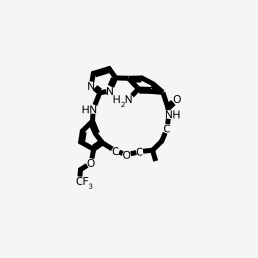 CC1CCNC(=O)c2ccc(c(N)c2)-c2ccnc(n2)Nc2ccc(OCC(F)(F)F)c(c2)COC1